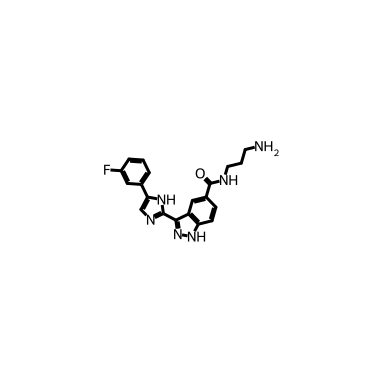 NCCCNC(=O)c1ccc2[nH]nc(-c3ncc(-c4cccc(F)c4)[nH]3)c2c1